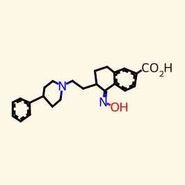 O=C(O)c1ccc2c(c1)CCC(CCN1CCC(c3ccccc3)CC1)/C2=N/O